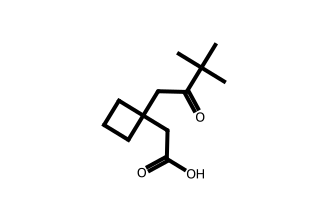 CC(C)(C)C(=O)CC1(CC(=O)O)CCC1